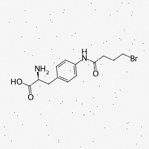 N[C@@H](Cc1ccc(NC(=O)CCCBr)cc1)C(=O)O